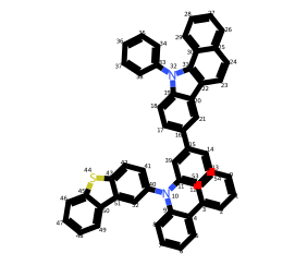 c1ccc(-c2ccccc2N(c2cccc(-c3ccc4c(c3)c3ccc5ccccc5c3n4-c3ccccc3)c2)c2ccc3sc4ccccc4c3c2)cc1